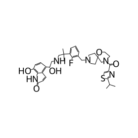 CC(C)c1nc(C(=O)N2CCOC3(CCN(Cc4cccc(C(C)(C)CNC[C@H](O)c5ccc(O)c6[nH]c(=O)ccc56)c4F)CC3)C2)cs1